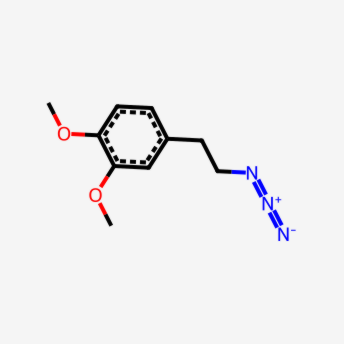 COc1ccc(CCN=[N+]=[N-])cc1OC